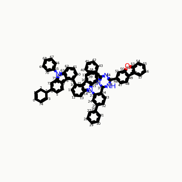 C1=CCC(c2ccc3c4c(-c5cccc6c5c5ccccc5n6-c5cc(-c6ccccc6)ccc5C5N=C(c6ccccc6)N=C(c6ccc7c(c6)oc6ccccc67)N5)cccc4n(-c4ccccc4)c3c2)C=C1